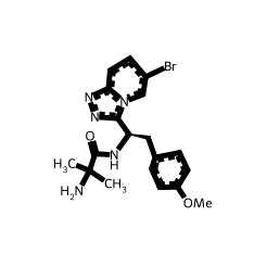 COc1ccc(C[C@@H](NC(=O)C(C)(C)N)c2nnc3ccc(Br)cn23)cc1